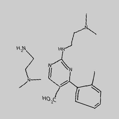 CN(C)CCN.Cc1ccccc1-c1nc(NCCN(C)C)ncc1C(=O)O